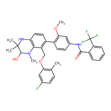 COc1cc(NC(=O)c2ccccc2C(F)(F)F)ccc1-c1ccc2c(c1COc1cc(F)ccc1C)N(C)C(O)C(C)(C)N2